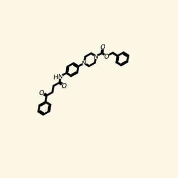 O=C(CCC(=O)c1ccccc1)Nc1ccc(N2CCN(C(=O)OCc3ccccc3)CC2)cc1